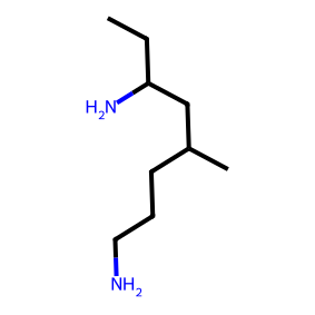 CCC(N)CC(C)CCCN